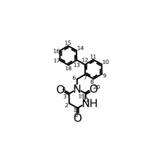 O=C1CC(=O)N(Cc2ccccc2-c2ccccc2)C(=O)N1